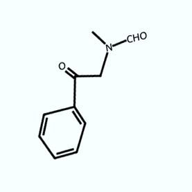 CN(C=O)CC(=O)c1ccccc1